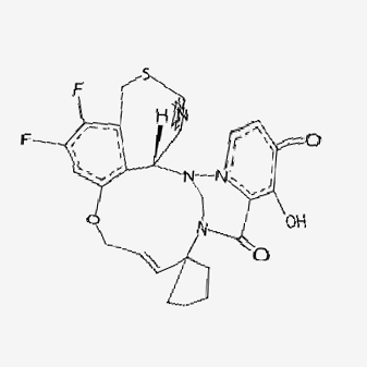 O=C1c2c(O)c(=O)ccn2N2CN1C1(/C=C/COc3cc(F)c(F)c4c3[C@@H]2c2ncccc2SC4)CCC1